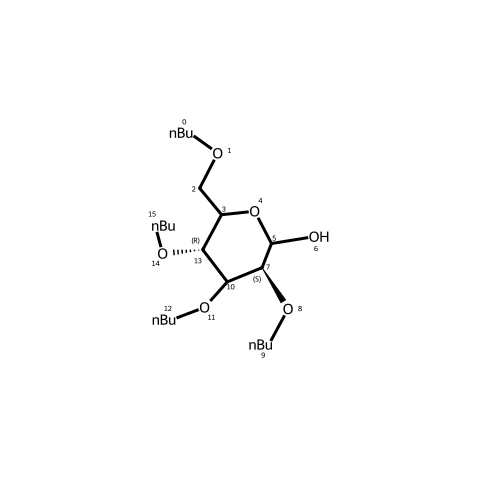 CCCCOCC1OC(O)[C@@H](OCCCC)C(OCCCC)[C@@H]1OCCCC